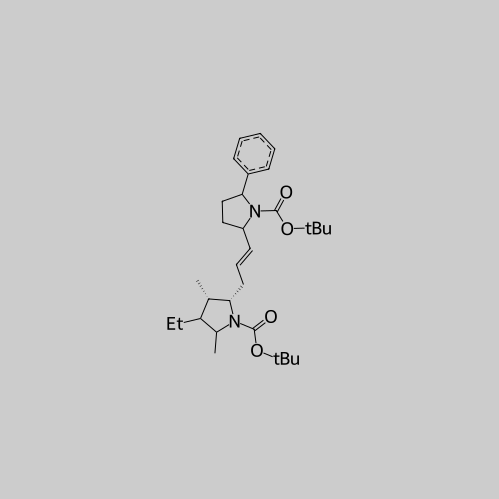 CCC1C(C)N(C(=O)OC(C)(C)C)[C@@H](C/C=C/C2CCC(c3ccccc3)N2C(=O)OC(C)(C)C)[C@H]1C